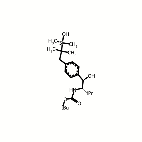 CC(C)[C@H](NC(=O)OC(C)(C)C)[C@H](O)c1ccc(CC(C)(C)[Si](C)(C)O)cc1